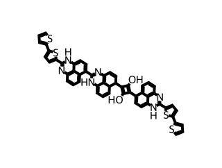 OC1=C(c2ccc3c4c(cccc24)N=C(c2ccc(-c4cccs4)s2)N3)C(O)=C1C1C=CC2=C3C(=CC=CC31)NC(c1ccc3c4c(cccc14)N=C(c1ccc(-c4cccs4)s1)N3)=N2